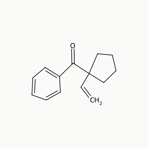 C=CC1(C(=O)c2ccccc2)CCCC1